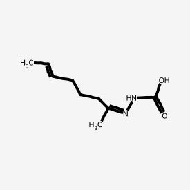 C/C=C/CCC/C(C)=N\NC(=O)O